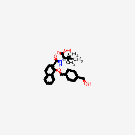 CC(C)(C)[C@H](NC(=O)c1ccc2ccccc2c1OCC1CCC(CO)CC1)C(=O)O